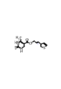 CC1=C(C(=O)OC/C=C/c2ccsc2)CNC(=S)N1